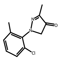 CC1=NN(c2c(C)cccc2Cl)CC1=O